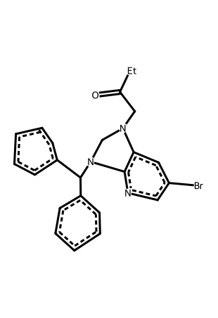 CCC(=O)CN1CN(C(c2ccccc2)c2ccccc2)c2ncc(Br)cc21